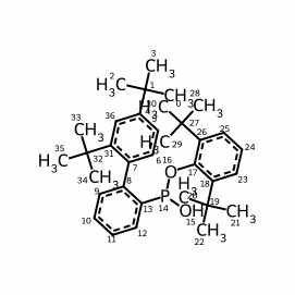 CC(C)(C)c1ccc(-c2ccccc2P(O)Oc2c(C(C)(C)C)cccc2C(C)(C)C)c(C(C)(C)C)c1